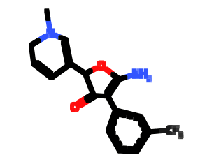 CN1C=C(C2OC(N)=C(c3cccc(C(F)(F)F)c3)C2=O)C=CC1